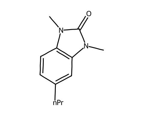 CCCc1ccc2c(c1)n(C)c(=O)n2C